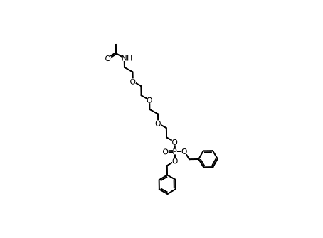 CC(=O)NCCOCCOCCOCCOP(=O)(OCc1ccccc1)OCc1ccccc1